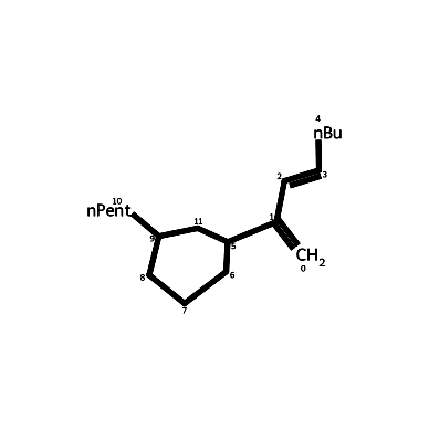 C=C(/C=C/CCCC)C1CCCC(CCCCC)C1